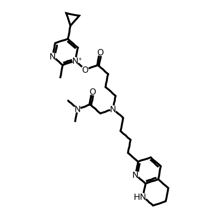 Cc1ncc(C2CC2)c[n+]1OC(=O)CCCN(CCCCc1ccc2c(n1)NCCC2)CC(=O)N(C)C